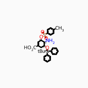 Cc1ccc(S(=O)(=O)O[C@H]2C=C(C(=O)O)C[C@@H](O[Si](c3ccccc3)(c3ccccc3)C(C)(C)C)[C@H]2N)cc1